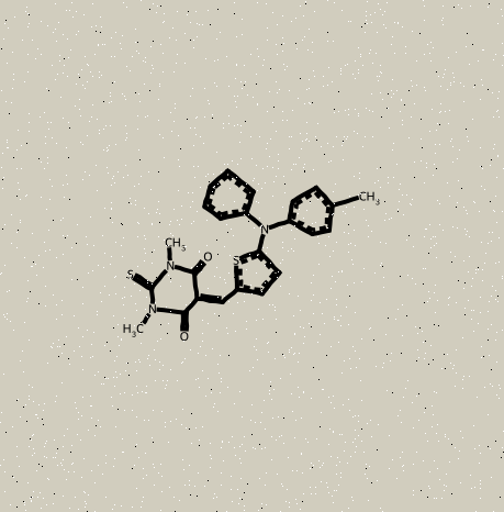 Cc1ccc(N(c2ccccc2)c2ccc(C=C3C(=O)N(C)C(=S)N(C)C3=O)s2)cc1